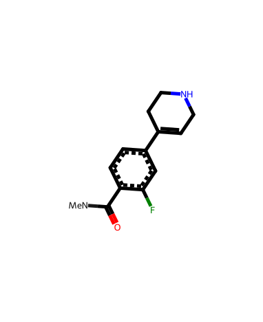 CNC(=O)c1ccc(C2=CCNCC2)cc1F